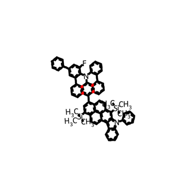 C[Si](C)(C)c1cc(-c2ccc(N(c3ccccc3-c3ccccc3)c3c(F)cc(-c4ccccc4)cc3-c3ccccc3)cc2)c2ccc3c([Si](C)(C)C)c4c(c5ccc1c2c35)c1ccccc1n4-c1ccccc1